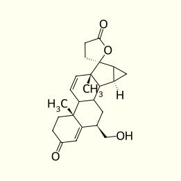 C[C@]12CCC(=O)C=C1[C@H](CO)CC1C2C=C[C@@]2(C)C1[C@@H]1CC1[C@@]21CCC(=O)O1